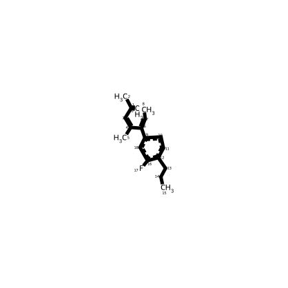 C=C(C)/C=C(C)\C(=C/C)c1ccc(CCC)c(F)c1